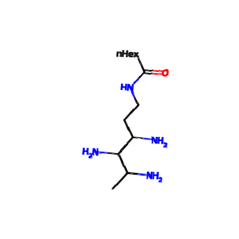 CCCCCCC(=O)NCCC(N)C(N)C(C)N